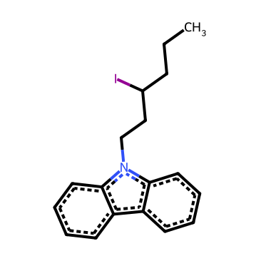 CCCC(I)CCn1c2ccccc2c2ccccc21